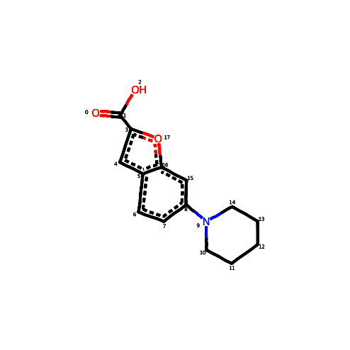 O=C(O)c1cc2ccc(N3CCCCC3)cc2o1